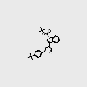 CC(C)(C)OC(=O)n1cc(C(C=O)CCc2ccc(C(C)(C)C)cc2)c2ccccc21